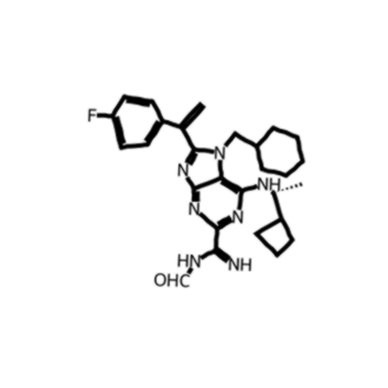 C=C(c1ccc(F)cc1)c1nc2nc(C(=N)NC=O)nc(N[C@H](C)C3CCC3)c2n1CC1CCCCC1